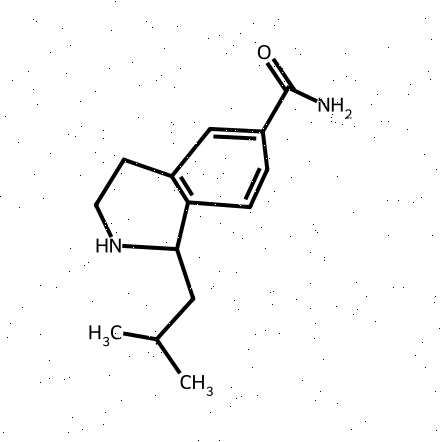 C[C](C)CC1NCCc2cc(C(N)=O)ccc21